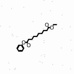 CCOC(=O)CCCCCCCCC(=O)Oc1ccccc1